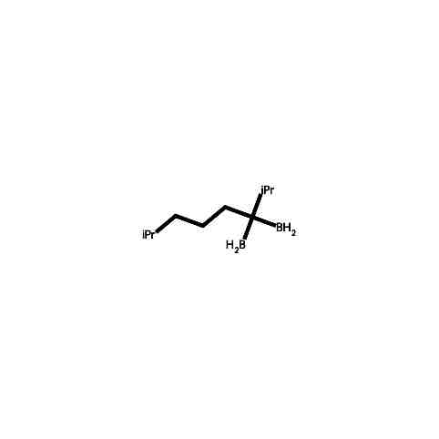 BC(B)(CCCC(C)C)C(C)C